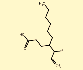 C=CC(F)C(CCCCCC)CCC(=O)O